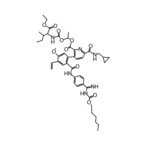 C=Cc1cc(C(=O)Nc2ccc(C(=N)NC(=O)OCCCCCC)cc2)c(-c2ccc(C(=O)NCC3CC3)nc2C(=O)OC(C)OC(=O)NC(C(=O)OCC)C(C)CC)cc1OC